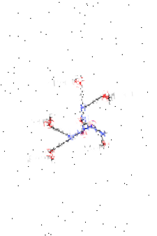 CCCCCC(CC)OC(=O)CCCCCCCCN(CCCCCCCCC(=O)OC(CC)CCCCC)CCCNC(=O)c1cc(C(=O)NCCCN(C)CCCC(=O)NC)cc(C(=O)NCCCN(CCCCCCCCC(=O)OC(CC)CCCCC)CCCCCCCCC(=O)OC(CC)CCCCC)c1